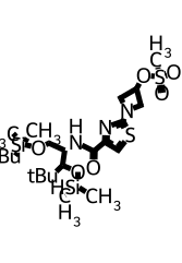 C[SiH](C)OC(C(CO[Si](C)(C)C(C)(C)C)NC(=O)c1csc(N2CC(OS(C)(=O)=O)C2)n1)C(C)(C)C